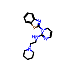 [CH]1C=CN=C(NCCN2CCCCC2)N1c1nc2ccccc2s1